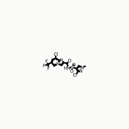 Cn1cc(S(=O)(=O)NC(=O)c2cn3cc(C(F)(F)F)cc(Cl)c3n2)c(Cl)n1